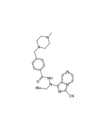 CN1CCN(Cc2ccc(C(=O)NN(CC(C)(C)C)c3nc(C#N)n4ccncc34)cc2)CC1